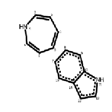 C1=CC=CNC=C1.c1ccc2[nH]ccc2c1